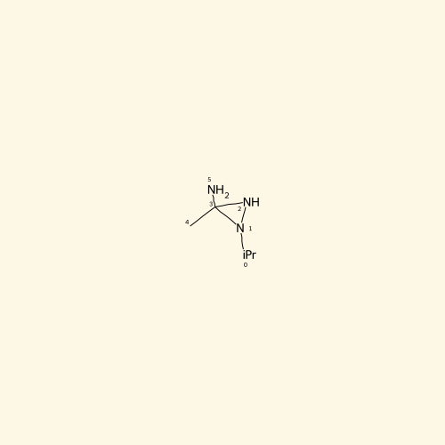 CC(C)N1NC1(C)N